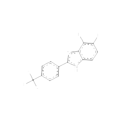 Fc1ccc2[nH]c(-c3ccc(C(F)(F)F)cc3)nc2c1F